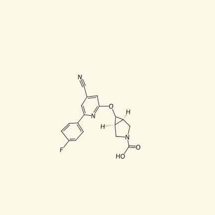 N#Cc1cc(OC2[C@H]3CN(C(=O)O)C[C@@H]23)nc(-c2ccc(F)cc2)c1